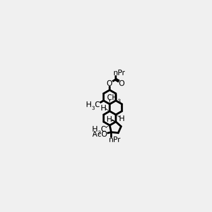 CCCC(=O)OC1CC(C)[C@@]2(C)C(CC[C@@H]3[C@H]2CC[C@@]2(C)[C@H]3CCC2(CCC)OC(C)=O)C1